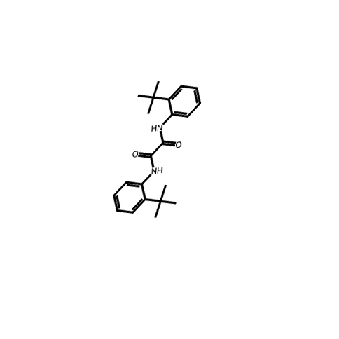 CC(C)(C)c1ccccc1NC(=O)C(=O)Nc1ccccc1C(C)(C)C